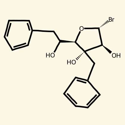 OC(Cc1ccccc1)[C@H]1O[C@H](Br)[C@@H](O)[C@@]1(O)Cc1ccccc1